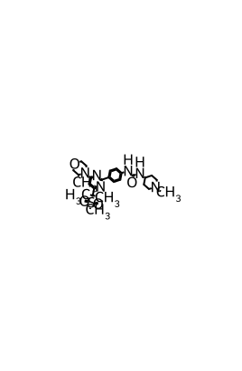 C[C@H]1COCCN1c1cc(C(C)(C)S(C)(=O)=O)nc(-c2ccc(NC(=O)NC3CCN(C)CC3)cc2)n1